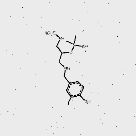 Cc1cc(CNCC(CNC(=O)O)O[Si](C)(C)C(C)(C)C)ccc1C(C)(C)C